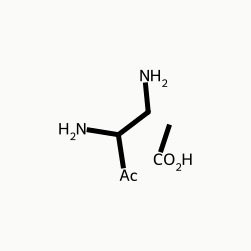 CC(=O)C(N)CN.CC(=O)O